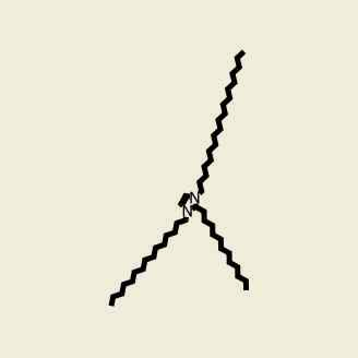 CCCCCCCCCCCCCCCCCCCN1C=CN(CCCCCCCCCCCCCCC)C1CCCCCCCCCCCC